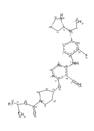 CCN(c1ccc(Nc2ncnc(OC3CCN(C(=O)OC(C)C)CC3)c2C#N)c(F)c1)C1CCCN1